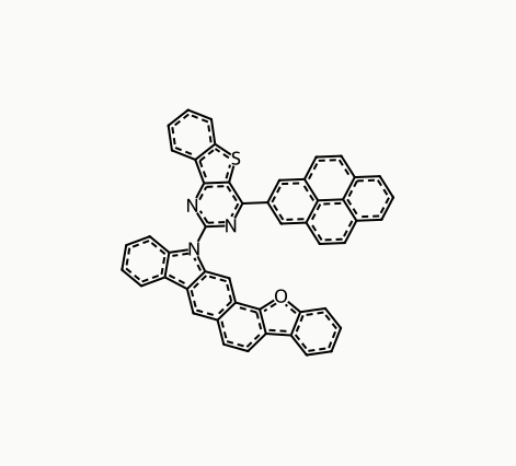 c1cc2ccc3cc(-c4nc(-n5c6ccccc6c6cc7ccc8c9ccccc9oc8c7cc65)nc5c4sc4ccccc45)cc4ccc(c1)c2c34